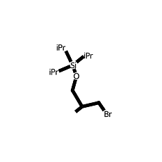 CC(CBr)CO[Si](C(C)C)(C(C)C)C(C)C